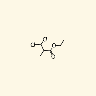 CCOC(=O)C(C)C(Cl)Cl